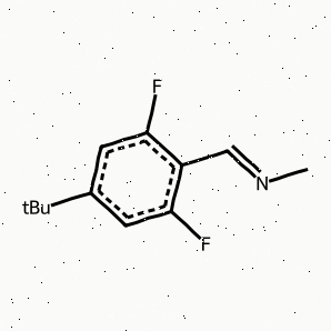 C/N=C/c1c(F)cc(C(C)(C)C)cc1F